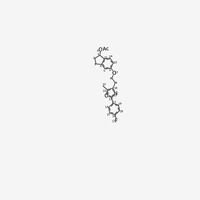 CC(=O)OC1CCc2cc(OCCc3nc(-c4ccc(F)cc4)oc3C)ccc21